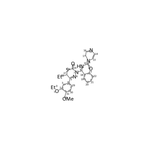 CCOc1cc(C2=NN(C(NC(=O)N3C=CN=CC3)c3ccccc3)C(=O)SC2CC)ccc1OC